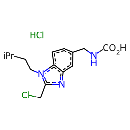 CC(C)CCn1c(CCl)nc2cc(CNC(=O)O)ccc21.Cl